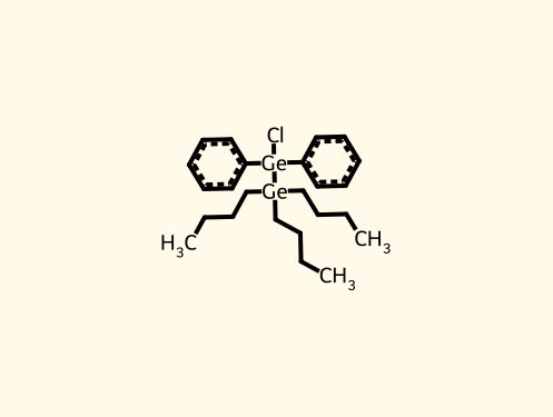 CCC[CH2][Ge]([CH2]CCC)([CH2]CCC)[Ge]([Cl])([c]1ccccc1)[c]1ccccc1